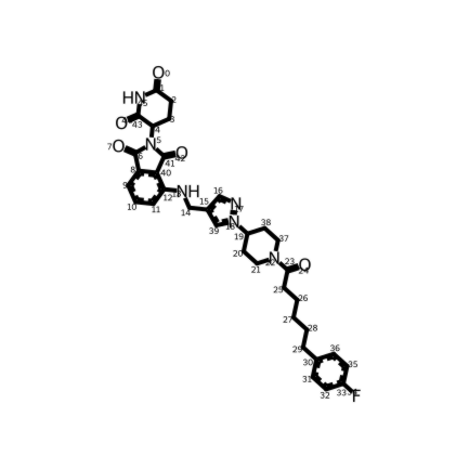 O=C1CCC(N2C(=O)c3cccc(NCc4cnn(C5CCN(C(=O)CCCCCc6ccc(F)cc6)CC5)c4)c3C2=O)C(=O)N1